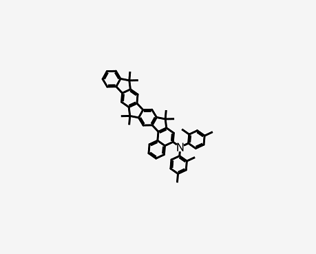 Cc1ccc(N(c2ccc(C)cc2C)c2cc3c(c4ccccc24)-c2cc4c(cc2C3(C)C)-c2cc3c(cc2C4(C)C)-c2ccccc2C3(C)C)c(C)c1